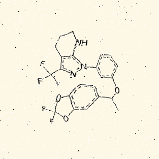 CC(Oc1cccc(-n2nc(C(F)(F)F)c3c2NCCC3)c1)c1ccc2c(c1)OC(F)(F)O2